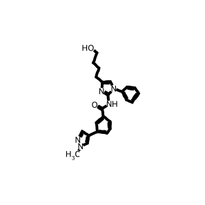 Cn1cc(-c2cccc(C(=O)Nc3nc(CCCCO)cn3-c3ccccc3)c2)cn1